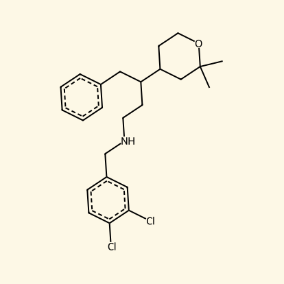 CC1(C)CC(C(CCNCc2ccc(Cl)c(Cl)c2)Cc2ccccc2)CCO1